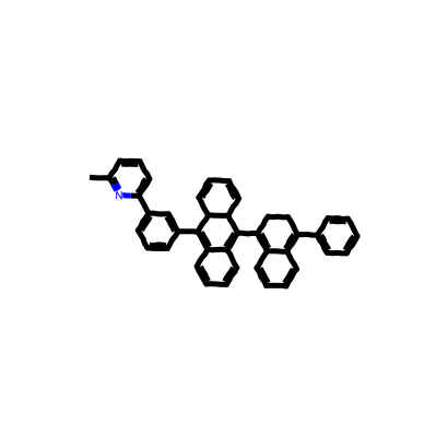 Cc1cccc(-c2cccc(C3=c4ccccc4=C(C4=c5ccccc5=C(c5ccccc5)CC4)C4C=CC=CC34)c2)n1